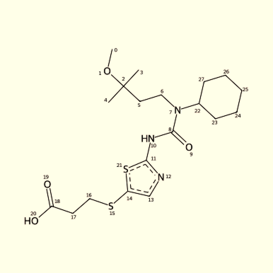 COC(C)(C)CCN(C(=O)Nc1ncc(SCCC(=O)O)s1)C1CCCCC1